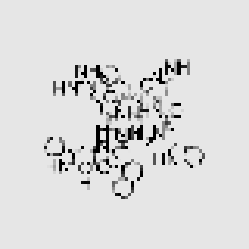 N=C(N)NCCC[C@H](NC(=O)[C@@H](Cc1ccccc1)NC(=O)[C@H](Cc1c[nH]cn1)NC(=O)[C@@H](N)Cc1c[nH]c2ccccc12)C(=O)N[C@@H](Cc1ccc2ccccc2c1)C(=O)N[C@@H](Cc1c[nH]c2ccccc12)C(=O)O